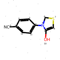 N#Cc1ccc(N2CSC=C2O)cc1